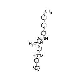 CCN1CCN(C2CCN(c3ccc(Nc4ncc(C)c(N5CCN(C(=O)Nc6ccc(-c7nnco7)cc6)CC5)n4)cc3)CC2)CC1